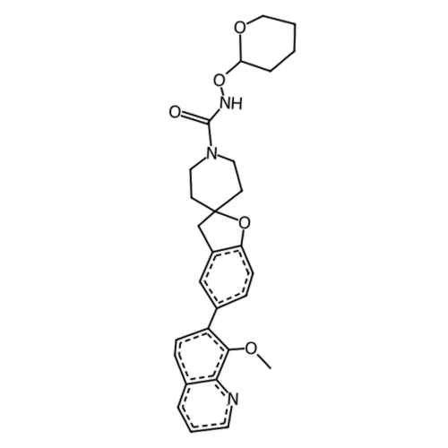 COc1c(-c2ccc3c(c2)CC2(CCN(C(=O)NOC4CCCCO4)CC2)O3)ccc2cccnc12